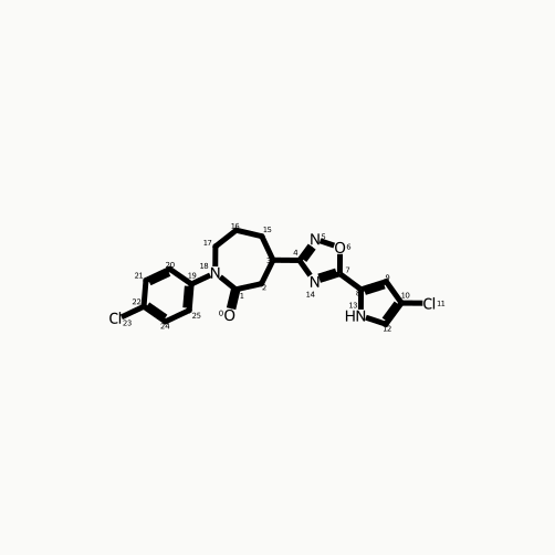 O=C1CC(c2noc(-c3cc(Cl)c[nH]3)n2)CCCN1c1ccc(Cl)cc1